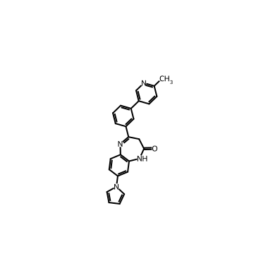 Cc1ccc(-c2cccc(C3=Nc4ccc(-n5cccc5)cc4NC(=O)C3)c2)cn1